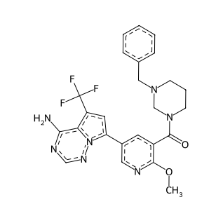 COc1ncc(-c2cc(C(F)(F)F)c3c(N)ncnn23)cc1C(=O)N1CCCN(Cc2ccccc2)C1